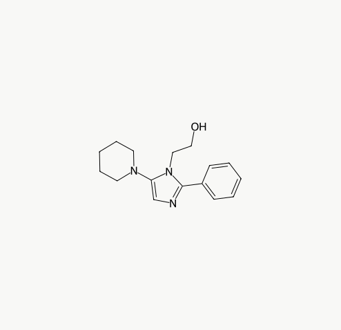 OCCn1c(N2CCCCC2)cnc1-c1ccccc1